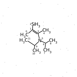 CC([SiH3])=C(C)N(C(C)C)C(C)C